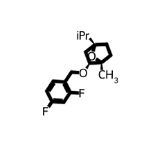 CC(C)[C@@]12CC[C@@](C)(O1)[C@@H](OCc1ccc(F)cc1F)C2